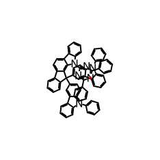 c1ccc(-c2nc(-c3ccccc3)nc(-n3c4ccccc4c4ccc5c(c43)C(c3ccc4c(c3)c3ccccc3n4-c3ccccc3)(c3ccc4c(c3)c3ccccc3n4-c3ccccc3)c3ccccc3-5)n2)cc1